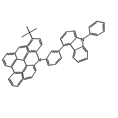 CC(C)(C)c1ccc(N(c2cccc(-c3cccc4c3c3ccccc3n4-c3ccccc3)c2)c2ccccc2-c2cccc3cccc(-c4ccccc4)c23)cc1